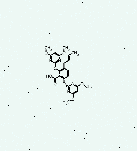 CC=CCc1ccc(Oc2nc(OC)cc(OC)n2)c(C(=O)O)c1Oc1nc(OC)cc(OC)n1